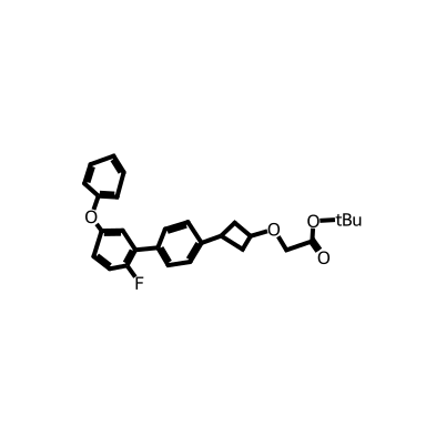 CC(C)(C)OC(=O)COC1CC(c2ccc(-c3cc(Oc4ccccc4)ccc3F)cc2)C1